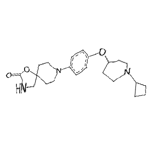 O=C1NCC2(CCN(c3ccc(OC4CCN(C5CCC5)CC4)cc3)CC2)O1